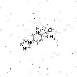 CC(C)(C)c1ccc(-n2cnnn2)cn1